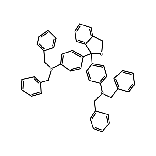 c1ccc(CN(Cc2ccccc2)c2ccc(C3(c4ccc(N(Cc5ccccc5)Cc5ccccc5)cc4)OCc4ccccc43)cc2)cc1